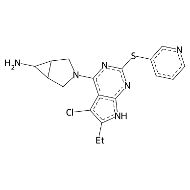 CCc1[nH]c2nc(Sc3cccnc3)nc(N3CC4C(N)C4C3)c2c1Cl